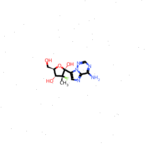 C[C@@]1(F)[C@H](O)[C@@H](CO)O[C@@]1(O)c1cnc2c(N)ncnn12